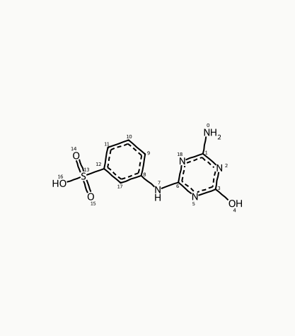 Nc1nc(O)nc(Nc2cccc(S(=O)(=O)O)c2)n1